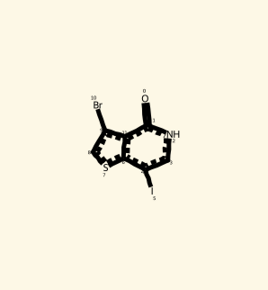 O=c1[nH]cc(I)c2scc(Br)c12